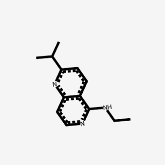 CCNc1nccc2nc(C(C)C)ccc12